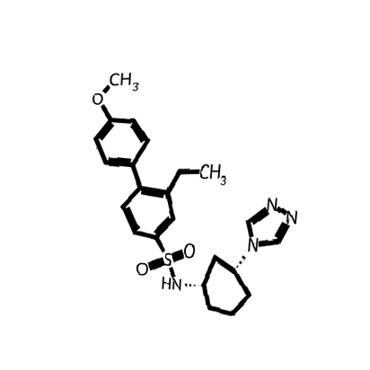 CCc1cc(S(=O)(=O)N[C@H]2CCC[C@@H](n3cnnc3)C2)ccc1-c1ccc(OC)cc1